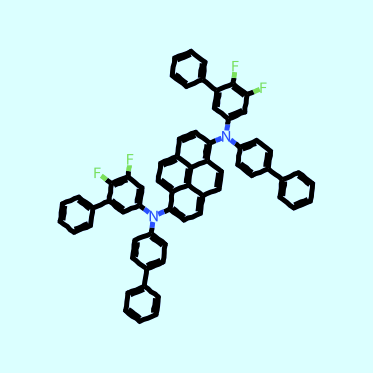 Fc1cc(N(c2ccc(-c3ccccc3)cc2)c2ccc3ccc4c(N(c5ccc(-c6ccccc6)cc5)c5cc(F)c(F)c(-c6ccccc6)c5)ccc5ccc2c3c54)cc(-c2ccccc2)c1F